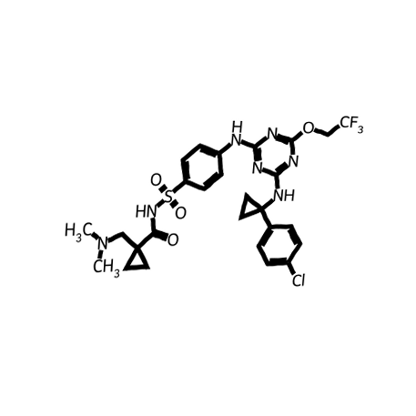 CN(C)CC1(C(=O)NS(=O)(=O)c2ccc(Nc3nc(NC4(c5ccc(Cl)cc5)CC4)nc(OCC(F)(F)F)n3)cc2)CC1